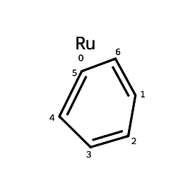 [Ru].c1ccccc1